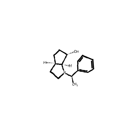 C[C@H](c1ccccc1)N1CC[C@H]2CC[C@H](O)[C@H]21